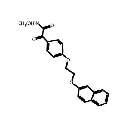 CN(O)C(=O)C(=O)c1ccc(OCCOc2ccc3ccccc3c2)cc1